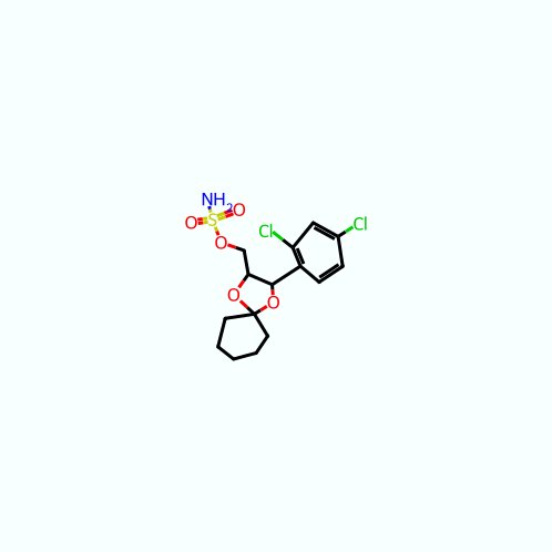 NS(=O)(=O)OCC1OC2(CCCCC2)OC1c1ccc(Cl)cc1Cl